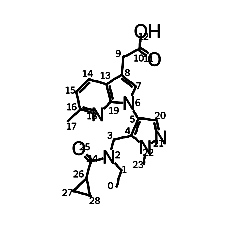 CCN(Cc1c(-n2cc(CC(=O)O)c3ccc(C)nc32)cnn1C)C(=O)C1CC1